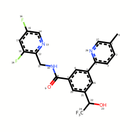 Cc1ccc(-c2cc(C(=O)NCc3ncc(F)cc3F)cc(C(O)C(F)(F)F)c2)nc1